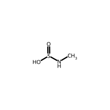 CNS(=O)O